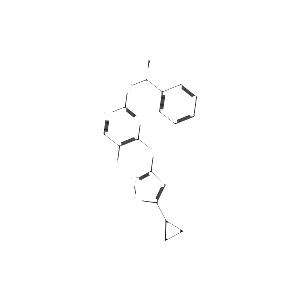 C[C@H](Nc1ncc(Cl)c(Nc2cc(C3CC3)[nH]n2)n1)c1ccccc1